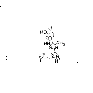 C[C@@]1(c2ccc(Cl)c(O)c2)C(=O)Nc2nc(-c3cn4ccnc4c(CCCC(F)(F)F)n3)nc(N)c21